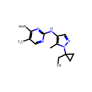 CNc1nc(Nc2cnn(C3(CC#N)CC3)c2C)ncc1C(F)(F)F